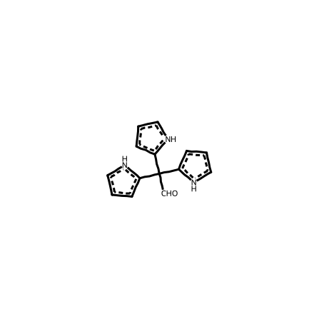 O=CC(c1ccc[nH]1)(c1ccc[nH]1)c1ccc[nH]1